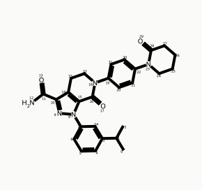 CC(C)c1cccc(-n2nc(C(N)=O)c3c2C(=O)N(c2ccc(N4CCCCC4=O)cc2)CC3)c1